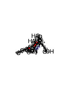 CCN1/C(=C/C=C/C2=[N+](CCCCCC(=O)O)c3ccc(S(=O)(=O)O)cc3C2(C)CCOCCOCCOCCOCCOC)C(C)(CCCS(=O)(=O)O)c2cc(S(=O)(=O)[O-])ccc21